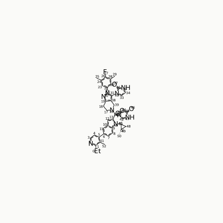 CCc1nccc(-c2ccc3c(c2)cc(C(=O)N2CCc4nn(-c5cc(C)c(F)c(C)c5)c(-n5cc[nH]c5=O)c4C2)n3[C@@]2(c3noc(=O)[nH]3)C[C@@H]2C)c1C